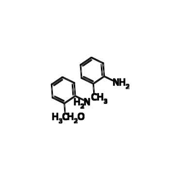 Cc1ccccc1N.Cc1ccccc1N.O